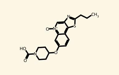 CCCc1nc2c[n+]([O-])c3cc(OC4CCN(C(=O)O)CC4)ccc3c2s1